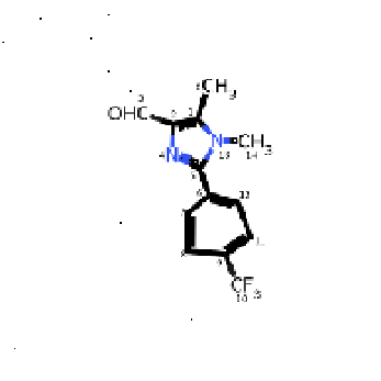 Cc1c(C=O)nc(-c2ccc(C(F)(F)F)cc2)n1C